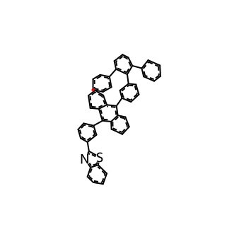 c1ccc(-c2cccc(-c3ccccc3)c2-c2cccc(-c3c4ccccc4c(-c4cccc(-c5nc6ccccc6s5)c4)c4ccccc34)c2)cc1